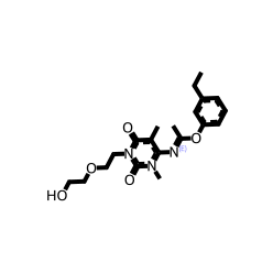 CCc1cccc(O/C(C)=N/c2c(C)c(=O)n(CCOCCO)c(=O)n2C)c1